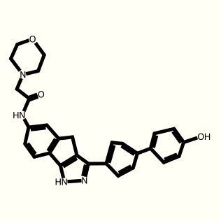 O=C(CN1CCOCC1)Nc1ccc2c(c1)Cc1c(-c3ccc(-c4ccc(O)cc4)cc3)n[nH]c1-2